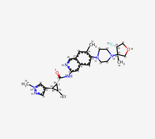 CC[C@@H]1[C@@H](C(=O)Nc2cc3cc(N4CCN([C@@]5(C)COC[C@H]5F)CC4)c(C)cc3cn2)[C@@H]1c1cnn(C)c1